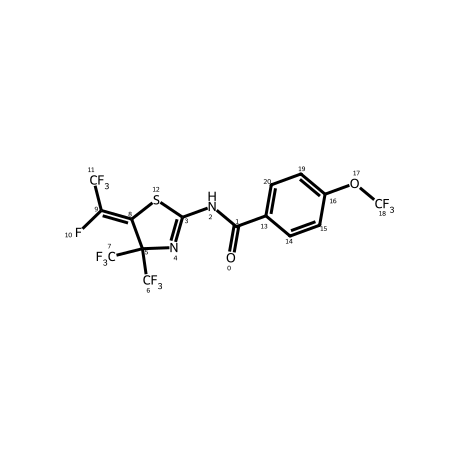 O=C(NC1=NC(C(F)(F)F)(C(F)(F)F)C(=C(F)C(F)(F)F)S1)c1ccc(OC(F)(F)F)cc1